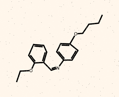 CCCCOc1ccc(/N=C\c2ccccc2OCC)cc1